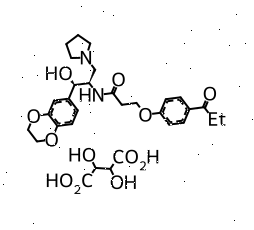 CCC(=O)c1ccc(OCCC(=O)N[C@H](CN2CCCC2)[C@H](O)c2ccc3c(c2)OCCO3)cc1.O=C(O)C(O)C(O)C(=O)O